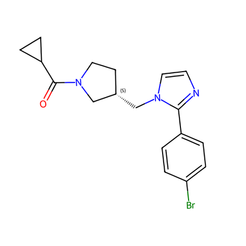 O=C(C1CC1)N1CC[C@H](Cn2ccnc2-c2ccc(Br)cc2)C1